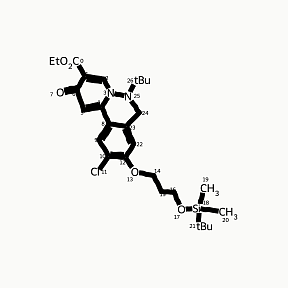 CCOC(=O)c1cn2c(cc1=O)-c1cc(Cl)c(OCCCO[Si](C)(C)C(C)(C)C)cc1CN2C(C)(C)C